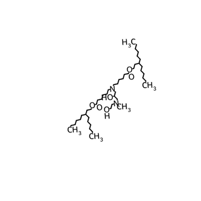 CCCCCCC(CCCCCC)CCOC(=O)CCCCCN(CCCCCC(=O)OCCC(CCCCCC)CCCCCC)C[C@H](O)CN(C)CCO